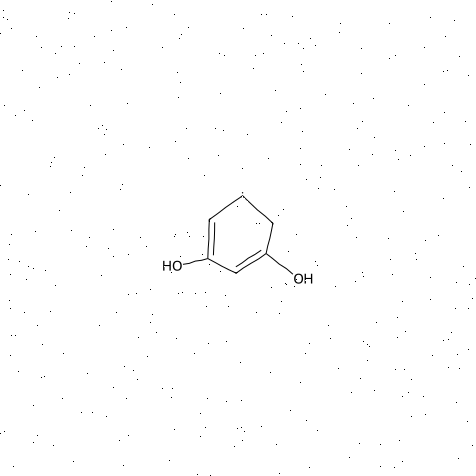 OC1=C[CH]CC(O)=C1